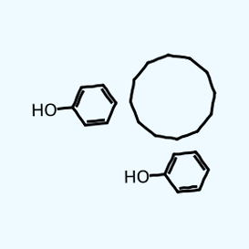 C1CCCCCCCCCCC1.Oc1ccccc1.Oc1ccccc1